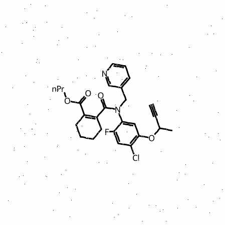 C#CC(C)Oc1cc(N(Cc2cccnc2)C(=O)C2=C(C(=O)OCCC)CCCC2)c(F)cc1Cl